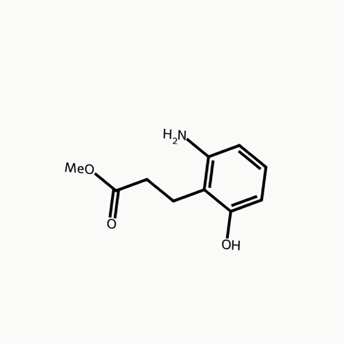 COC(=O)CCc1c(N)cccc1O